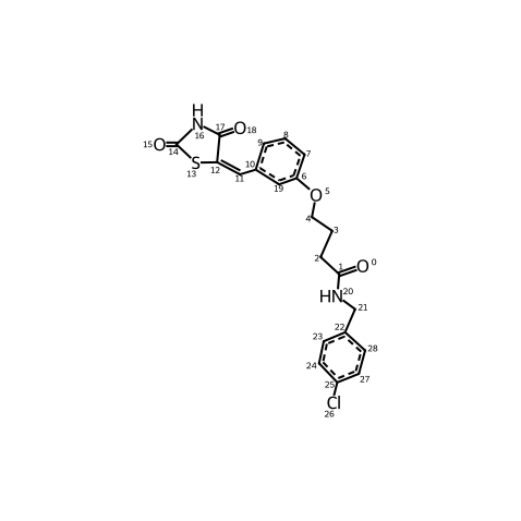 O=C(CCCOc1cccc(C=C2SC(=O)NC2=O)c1)NCc1ccc(Cl)cc1